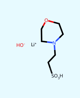 O=S(=O)(O)CCN1CCOCC1.[Li+].[OH-]